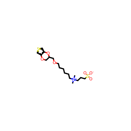 C[N+](C)(CCCCCCOCC1COc2cscc2O1)CCCS(=O)(=O)[O-]